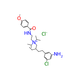 CCC(CCc1cc(N)cc(Cl)c1)C[N+](CCNC(=O)c1ccc(OC)cc1)(C(C)C)C(C)C.[Cl-]